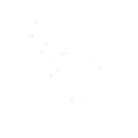 CCCCN(CCCC)C(=O)c1cc(C(=O)N(CCCC)CCCC)cc(-n2nc(C(C)(C)C)c(N=Nc3nc(-c4ccccc4)ns3)c2N)c1